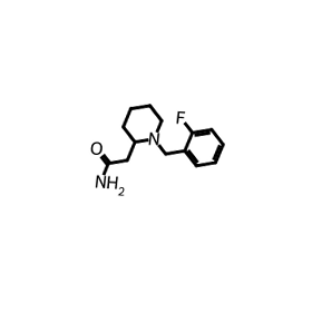 NC(=O)CC1CCCCN1Cc1ccccc1F